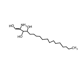 CCCCCCCCCCCCCCC(O)C(O)C(N)=CO